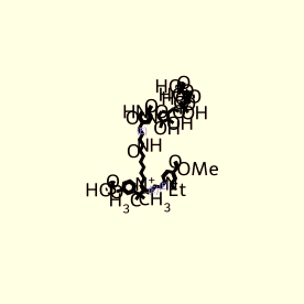 CCN1C=C(C(=O)OC)C=C/C1=C\C=C\C1=[N+](CCCCCC(=O)NC/C=C/c2cn(C3OC(COP(=O)(O)OP(=O)(O)OP(=O)(O)O)C(O)C3O)c(=O)[nH]c2=O)c2ccc(OS(=O)O)cc2C1(C)C